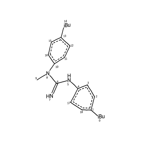 CCC(C)c1ccc(NC(=N)N(C)c2ccc(C(C)CC)cc2)cc1